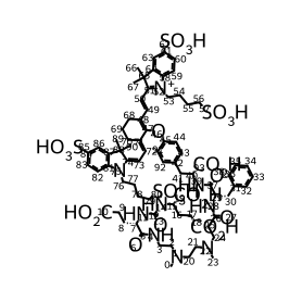 CN(CCNC(=O)[C@H](CCC(=O)O)NC(=O)N[C@@H](CCC(=O)O)C(=O)O)CCN(C)CCC(=O)N[C@@H](Cc1ccccc1)C(=O)N[C@@H](Cc1ccc(OC2=C(/C=C/C3=[N+](CCCCS(=O)(=O)O)c4ccc(S(=O)(=O)O)cc4C3(C)C)CCC/C2=C\C=C2\N(CCCCS(=O)(=O)O)c3ccc(S(=O)(=O)O)cc3C2(C)C)cc1)C(=O)O